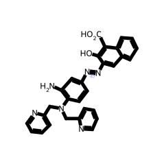 Nc1cc(/N=N/c2cc3ccccc3c(C(=O)O)c2O)ccc1N(Cc1ccccn1)Cc1ccccn1